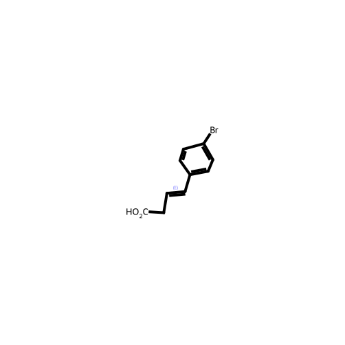 O=C(O)C/C=C/c1ccc(Br)cc1